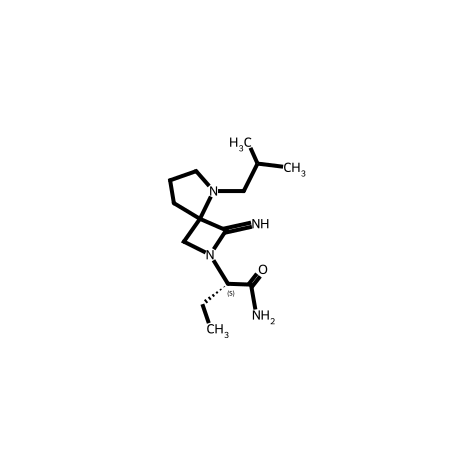 CC[C@@H](C(N)=O)N1CC2(CCCN2CC(C)C)C1=N